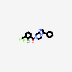 O=C(c1cccc(C(F)(F)F)c1Cl)N1CCn2c(-c3ccccc3)cnc2C1